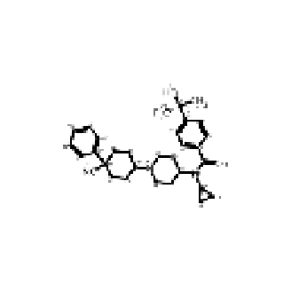 C[C@](O)(c1ccc(C(=O)N(C2CC2)C2CCN(C3CCC(C#N)(c4ccccc4)CC3)CC2)cc1)C(F)(F)F